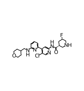 O=C(Nc1cc(-c2cccc(NCC3CCOCC3)n2)c(Cl)cn1)[C@@H]1CNC[C@H](F)C1